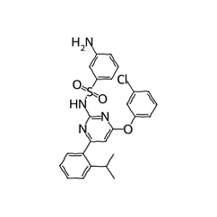 CC(C)c1ccccc1-c1cc(Oc2cccc(Cl)c2)nc(NS(=O)(=O)c2cccc(N)c2)n1